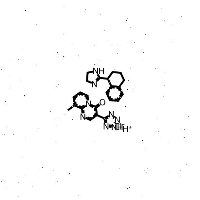 Cc1cccn2c(=O)c(-c3nn[nH]n3)cnc12.[Cl-].[H+].c1ccc2c(c1)CCCC2C1=NCCN1